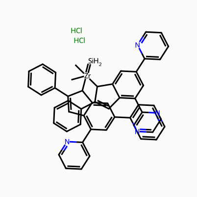 Cl.Cl.[CH3][Zr]([CH3])(=[SiH2])([CH]1C(c2ccccc2)=Cc2c(-c3ccccn3)cc(-c3ccccn3)cc21)[CH]1C(c2ccccc2)=Cc2c(-c3ccccn3)cc(-c3ccccn3)cc21